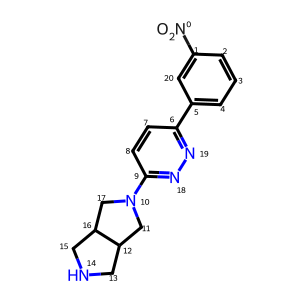 O=[N+]([O-])c1cccc(-c2ccc(N3CC4CNCC4C3)nn2)c1